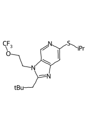 CC(C)Sc1cc2nc(CC(C)(C)C)n(CCOC(F)(F)F)c2cn1